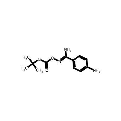 CC(C)(C)OC(=O)ON=C(N)c1ccc(N)cc1